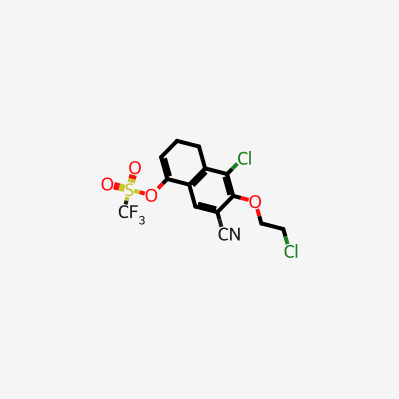 N#Cc1cc2c(c(Cl)c1OCCCl)CCC=C2OS(=O)(=O)C(F)(F)F